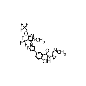 C/N=C\C1(NC(=O)c2cc(-c3cnn(-c4c(C(F)(F)F)c(OCC(F)(F)F)nn4C)c3)ccc2Cl)CC1